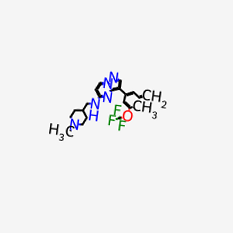 C=C/C=C(\C=C(/C)OC(F)(F)F)c1cnn2ccc(NCC3CCN(C)CC3)nc12